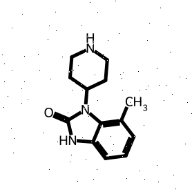 Cc1cccc2[nH]c(=O)n(C3CCNCC3)c12